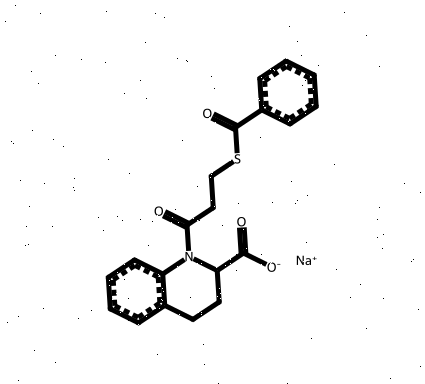 O=C(SCCC(=O)N1c2ccccc2CCC1C(=O)[O-])c1ccccc1.[Na+]